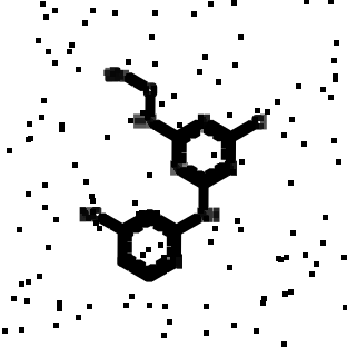 CC(C)(C)ONc1nc(Cl)nc(Nc2cc(C#N)ccn2)n1